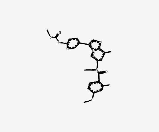 COC(=O)Nc1ccc(-c2cnc3c(C)cc(N(C)C(=O)c4ccc(OC)cc4F)cn23)cn1